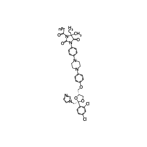 CCCC(=O)N1C(=O)N(c2ccc(N3CCN(c4ccc(OC[C@@H]5CO[C@@](Cn6ccnc6)(c6ccc(Cl)cc6Cl)O5)cc4)CC3)cc2)C(=O)C1(C)C